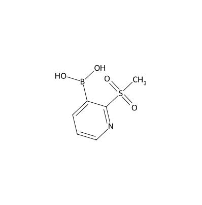 CS(=O)(=O)c1ncccc1B(O)O